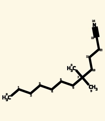 CCCCCCCC(C)(C)CCCC#N